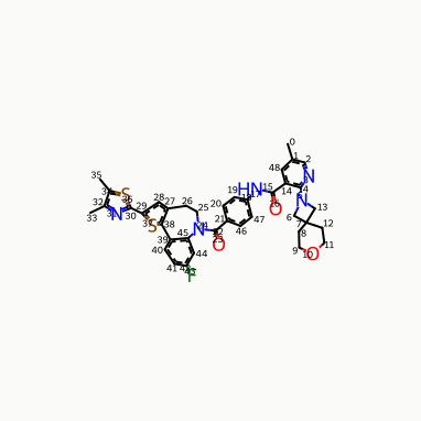 Cc1cnc(N2CC3(CCOCC3)C2)c(C(=O)Nc2ccc(C(=O)N3CCc4cc(-c5nc(C)c(C)s5)sc4-c4ccc(F)cc43)cc2)c1